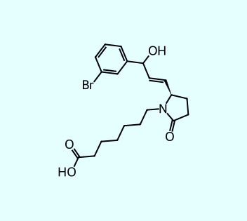 O=C(O)CCCCCCN1C(=O)CC[C@@H]1C=CC(O)c1cccc(Br)c1